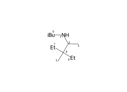 CCC(C)NC(C)C(C)(CC)CC